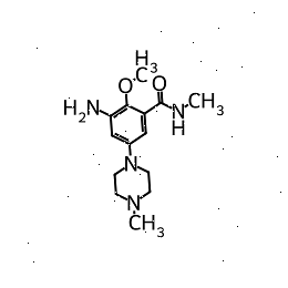 CNC(=O)c1cc(N2CCN(C)CC2)cc(N)c1OC